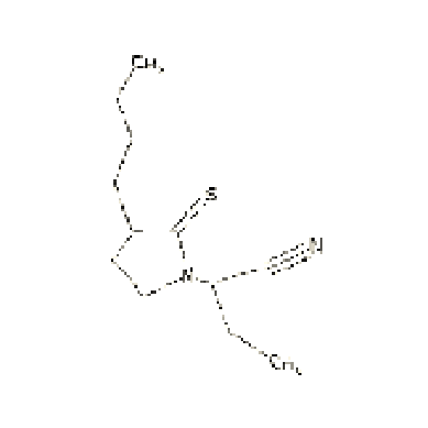 CCCCC1CCN(C(C#N)CC)C1=S